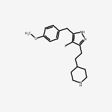 COc1ccc(Cc2[nH]nc(CCC3CCNCC3)c2I)cc1